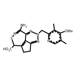 COc1c(C)cnc(CN2N=C3CCC4=C3C(=N2)C(N)=NSC4C(=O)O)c1C